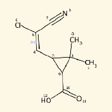 CC1(C)C(/C=C(/Cl)C#N)C1C(=O)O